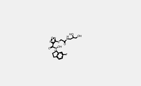 O=C(CSc1nonc1C(=O)N(O)[C@H]1CCc2ccc(F)cc21)NCC(O)CO